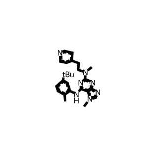 Cc1ccc(C(C)(C)C)cc1Nc1nc(N(C)CCc2ccncc2)nc2ncn(C)c12